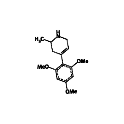 COc1cc(OC)c(C2=CCNC(C)C2)c(OC)c1